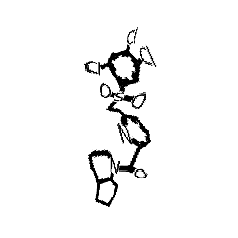 O=C(c1cccc(CS(=O)(=O)c2cc(Cl)c(Cl)cc2Cl)n1)N1CCCC2CCCCC21